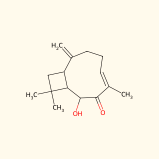 C=C1CC/C=C(\C)C(=O)C(O)C2C1CC2(C)C